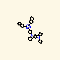 c1ccc(-n2c3ccccc3c3cc4c(cc32)c2ccccc2n4-c2ccc(-c3nc(-c4ccc5ccccc5c4)nc(-c4ccc5ccccc5c4)n3)cc2)cc1